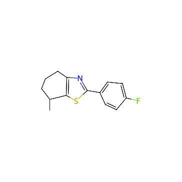 CC1CCCc2nc(-c3ccc(F)cc3)sc21